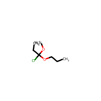 CCCOC(Cl)(CC)O[SiH3]